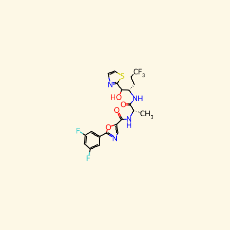 C[C@H](NC(=O)c1cnc(-c2cc(F)cc(F)c2)o1)C(=O)N[C@@H](CCC(F)(F)F)C(O)c1nccs1